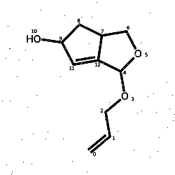 C=CCOC1OCC2CC(O)C=C21